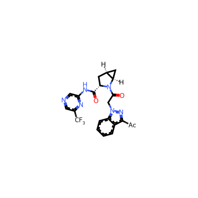 CC(=O)c1nn(CC(=O)N2[C@@H]3C[C@@H]3C[C@H]2C(=O)Nc2cncc(C(F)(F)F)n2)c2ccccc12